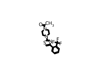 CC(=O)N1CCN(c2nc(-c3ccccc3C(F)(F)F)cs2)CC1